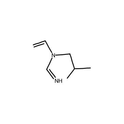 C=CN(C=N)CC(C)C